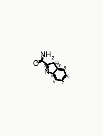 NC(=O)C1=Nc2ccccc2C1